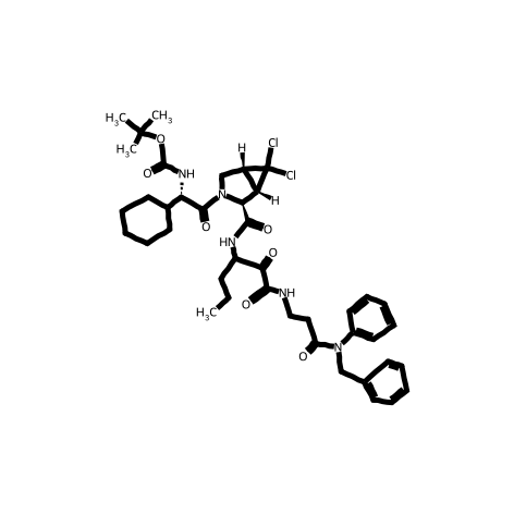 CCCC(NC(=O)[C@@H]1[C@@H]2[C@H](CN1C(=O)[C@@H](NC(=O)OC(C)(C)C)C1CCCCC1)C2(Cl)Cl)C(=O)C(=O)NCCC(=O)N(Cc1ccccc1)c1ccccc1